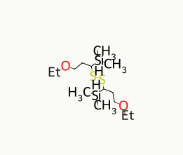 CCOCCC(SSC(CCOCC)[SiH](C)C)[SiH](C)C